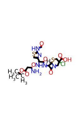 CC(C)(C)OC(=O)CC(N)ON=C(C(=O)NC1C(=O)N2CC(Cl)(C(=O)O)CS[C@H]12)c1csc(NC=O)n1